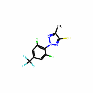 Cc1nn(-c2c(Cl)cc(C(F)(F)F)cc2Cl)nc1S